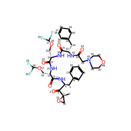 C[C@@]1(C(=O)[C@H](Cc2ccccc2)NC(=O)[C@H](COC(F)F)NC(=O)[C@H](COC(F)F)NC(=O)[C@H](Cc2ccccc2)NC(=O)CN2CCOCC2)CO1